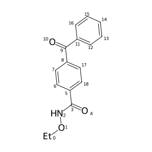 CCONC(=O)c1ccc(C(=O)c2ccccc2)cc1